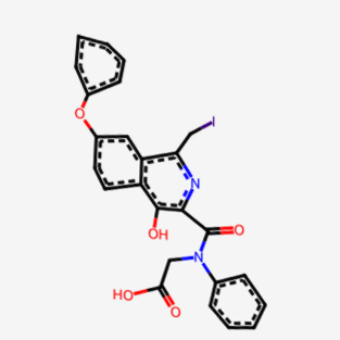 O=C(O)CN(C(=O)c1nc(CI)c2cc(Oc3ccccc3)ccc2c1O)c1ccccc1